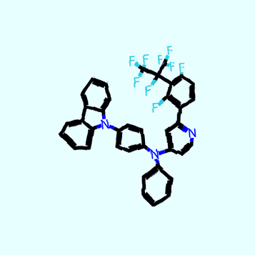 Fc1ccc(-c2cc(N(c3ccccc3)c3ccc(-n4c5ccccc5c5ccccc54)cc3)ccn2)c(F)c1C(F)(C(F)(F)F)C(F)(F)F